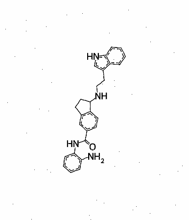 Nc1ccccc1NC(=O)c1ccc2c(c1)CCC2NCCc1c[nH]c2ccccc12